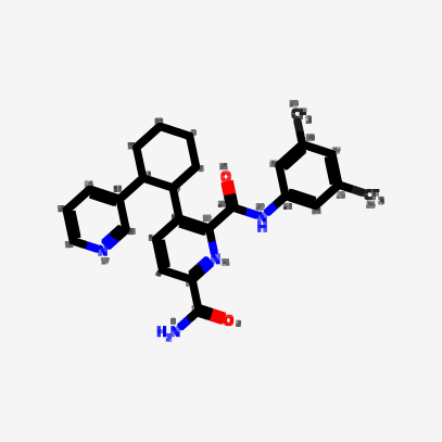 NC(=O)c1ccc(C2CCCCC2c2cccnc2)c(C(=O)Nc2cc(C(F)(F)F)cc(C(F)(F)F)c2)n1